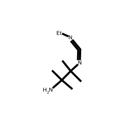 CCN=C=NC(C)(C)C(C)(C)N